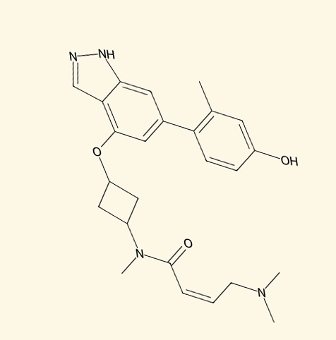 Cc1cc(O)ccc1-c1cc(OC2CC(N(C)C(=O)/C=C\CN(C)C)C2)c2cn[nH]c2c1